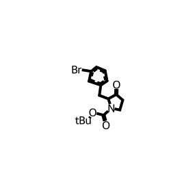 CC(C)(C)OC(=O)N1CCC(=O)C1Cc1cccc(Br)c1